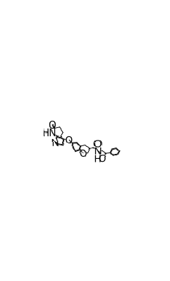 O=C1CCc2c(Oc3ccc4c(c3)C[C@@H](C(=O)NCC(=O)c3ccccc3)CO4)ccnc2N1